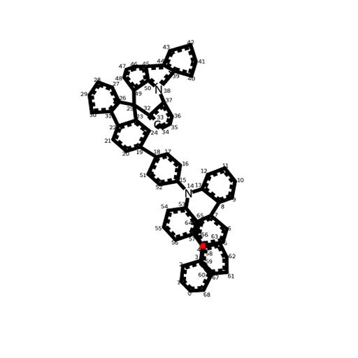 c1ccc(-c2ccc(-c3ccccc3N(c3ccc(-c4ccc5c(c4)C4(c6ccccc6-5)c5ccccc5-n5c6ccccc6c6cccc4c65)cc3)c3cccc(-c4ccccc4)c3)cc2)cc1